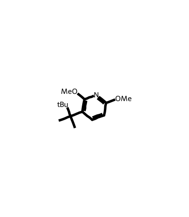 COc1ccc(C(C)(C)C(C)(C)C)c(OC)n1